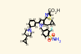 NS(=O)(=O)c1ccc(Cn2c(-c3cccc(N4CCC(C5CC5)CC4)c3)cc(-c3nc(C(=O)O)cs3)c2CC2CC2)cc1F